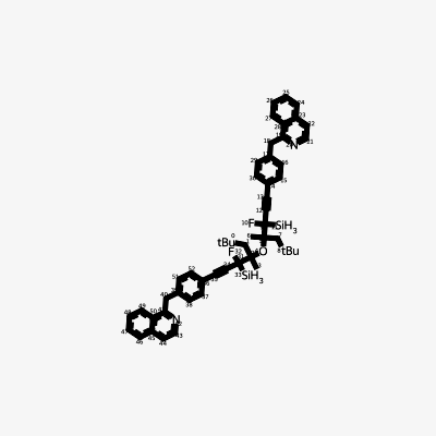 CC(C)(C)CC(C)(OC(C)(CC(C)(C)C)C(F)([SiH3])C#Cc1ccc(Cc2nccc3ccccc23)cc1)C(F)([SiH3])C#Cc1ccc(Cc2nccc3ccccc23)cc1